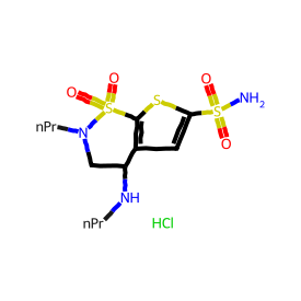 CCCNC1CN(CCC)S(=O)(=O)c2sc(S(N)(=O)=O)cc21.Cl